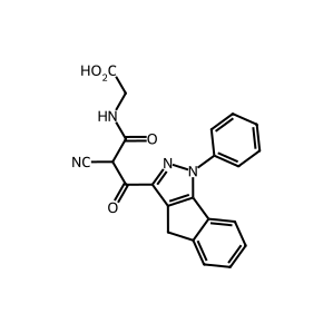 N#CC(C(=O)NCC(=O)O)C(=O)c1nn(-c2ccccc2)c2c1Cc1ccccc1-2